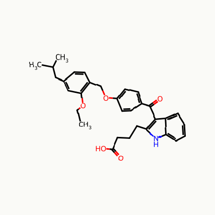 CCOc1cc(CC(C)C)ccc1COc1ccc(C(=O)c2c(CCCC(=O)O)[nH]c3ccccc23)cc1